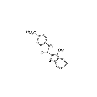 O=C(O)c1ccc(NC(=O)c2sc3ccccc3c2O)cc1